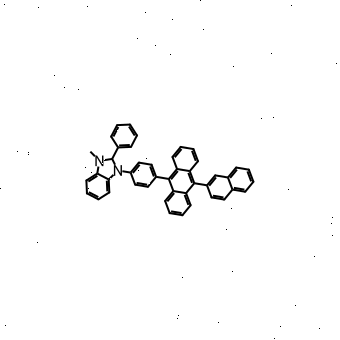 CN1c2ccccc2N(c2ccc(-c3c4ccccc4c(-c4ccc5ccccc5c4)c4ccccc34)cc2)C1c1ccccc1